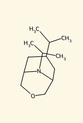 CC(C)C1CC2COCC(C1)N2C(C)C